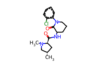 C[C@H]1C[C@H](C(=O)NC2CCCN(c3ccccc3Cl)C2=O)N(C)C1